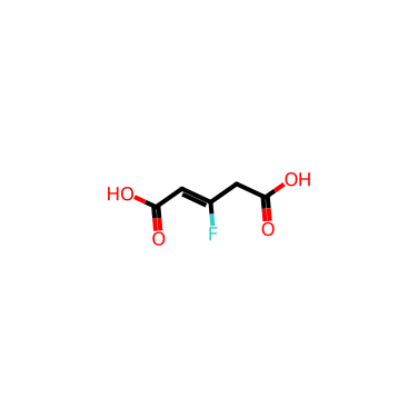 O=C(O)C=C(F)CC(=O)O